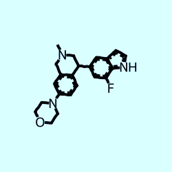 CN1Cc2cc(N3CCOCC3)ccc2C(c2cc(F)c3[nH]ccc3c2)C1